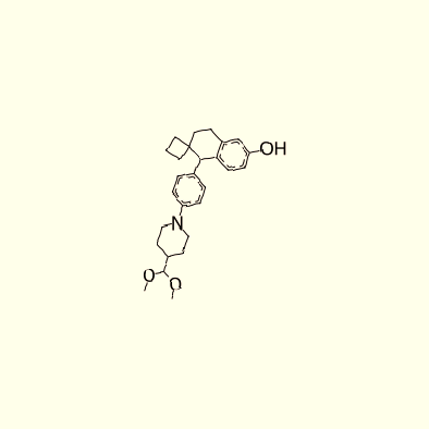 COC(OC)C1CCN(c2ccc(C3c4ccc(O)cc4CCC34CCC4)cc2)CC1